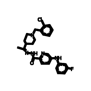 CC(=NNC(=O)c1ccc(Nc2cccc(F)c2)cn1)C1CCN(Cc2ccccc2Cl)CC1